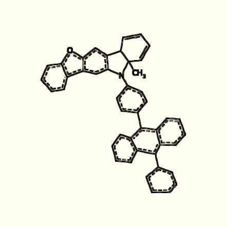 CC12C=CC=CC1c1cc3oc4ccccc4c3cc1N2c1ccc(-c2c3ccccc3c(-c3ccccc3)c3ccccc23)cc1